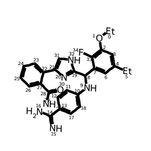 CCOc1cc(CC)cc(C(Nc2ccc(C(=N)N)cc2)c2nc(-c3ccccc3C(N)=O)c[nH]2)c1F